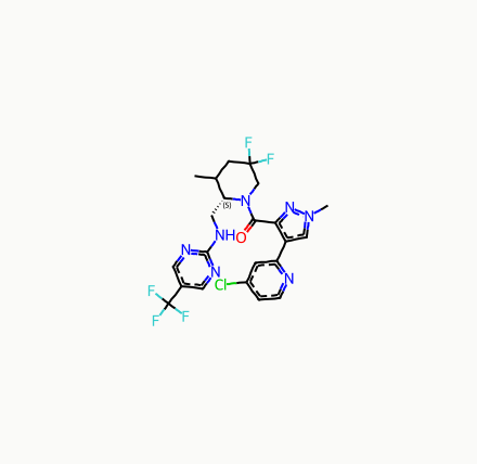 CC1CC(F)(F)CN(C(=O)c2nn(C)cc2-c2cc(Cl)ccn2)[C@@H]1CNc1ncc(C(F)(F)F)cn1